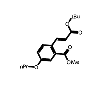 CCCOc1ccc(C=CC(=O)OC(C)(C)C)c(C(=O)OC)c1